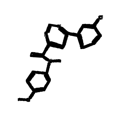 COc1ccc(N(C)C(=O)c2cc(-c3cccc(Cl)c3)ncn2)cc1